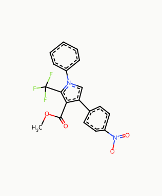 COC(=O)c1c(-c2ccc([N+](=O)[O-])cc2)cn(-c2ccccc2)c1C(F)(F)F